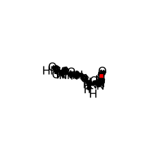 O=C1CCC(c2n[nH]c3c(NC(=O)CN4CCN(CC5CCC(n6cc(NC(=O)c7cnn8ccc(N9CC%10CC9CO%10)nc78)c(C(F)F)n6)CC5)CC4)cccc23)C(=O)N1